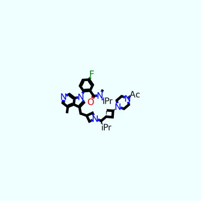 CC(=O)N1CCN([C@H]2C[C@@H]([C@@H](C(C)C)N3CC(Cc4cn(-c5ccc(F)cc5C(=O)N(C)C(C)C)c5cncc(C)c45)C3)C2)CC1